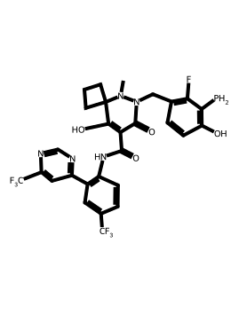 CN1N(Cc2ccc(O)c(P)c2F)C(=O)C(C(=O)Nc2ccc(C(F)(F)F)cc2-c2cc(C(F)(F)F)ncn2)=C(O)C12CCC2